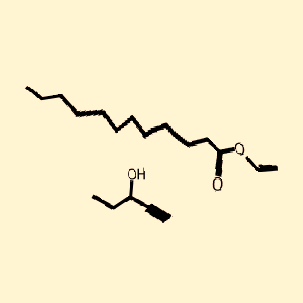 C#CC(O)CC.C=COC(=O)CCCCCCCCCCC